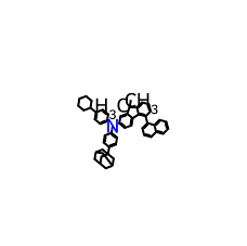 CC1(C)c2cc(N(c3ccc(C4CCCCC4)cc3)c3ccc(C45CC6CC(CC(C6)C4)C5)cc3)ccc2-c2c(-c3cccc4ccccc34)cccc21